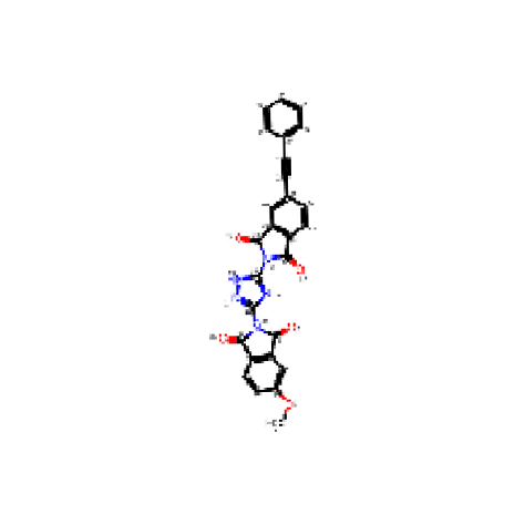 COc1ccc2c(c1)C(=O)N(c1n[nH]c(N3C(=O)c4ccc(C#Cc5ccccc5)cc4C3=O)n1)C2=O